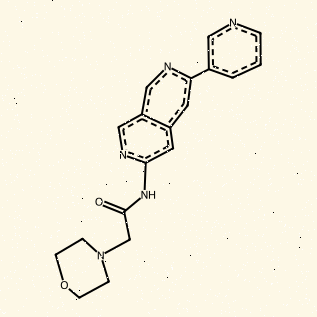 O=C(CN1CCOCC1)Nc1cc2cc(-c3cccnc3)ncc2cn1